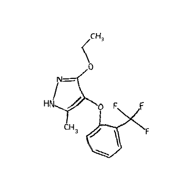 CCOc1n[nH]c(C)c1Oc1ccccc1C(F)(F)F